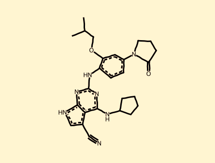 CC(C)COc1cc(N2CCCC2=O)ccc1Nc1nc(NC2CCCC2)c2c(C#N)c[nH]c2n1